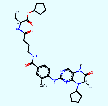 CC[C@@H]1C(=O)N(C)c2cnc(Nc3ccc(C(=O)NCCCC(=O)N[C@@H](CC(C)C)C(=O)OC4CCCC4)cc3OC)nc2N1C1CCCC1